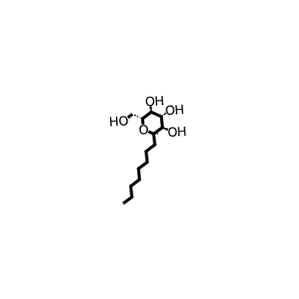 CCCCCCCC[C]1O[C@H](CO)[C@@H](O)[C@H](O)[C@H]1O